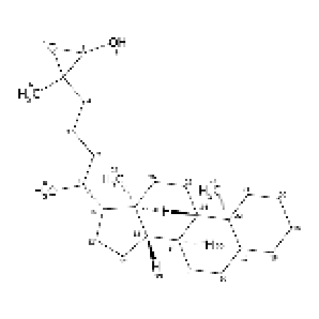 CC(CCCC1(C)OC1O)[C@H]1CC[C@H]2[C@@H]3CCC4CCCC[C@]4(C)[C@H]3CC[C@]12C